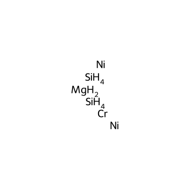 [Cr].[MgH2].[Ni].[Ni].[SiH4].[SiH4]